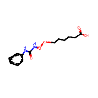 O=C(O)CCCCCOONC(=O)Nc1ccccc1